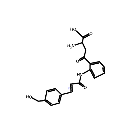 NC(CC(=O)c1ccccc1NC(=O)/C=C/c1ccc(CO)cc1)C(=O)O